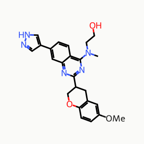 COc1ccc2c(c1)CC(c1nc(N(C)CCO)c3ccc(-c4cn[nH]c4)cc3n1)CO2